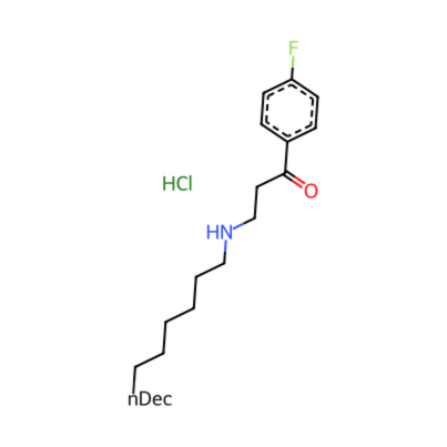 CCCCCCCCCCCCCCCCNCCC(=O)c1ccc(F)cc1.Cl